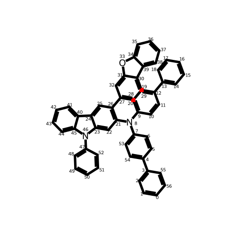 c1ccc(-c2ccc(N(c3ccc(-c4ccccc4)cc3)c3cc4c(cc3-c3ccc5c(c3)oc3ccccc35)c3ccccc3n4-c3ccccc3)cc2)cc1